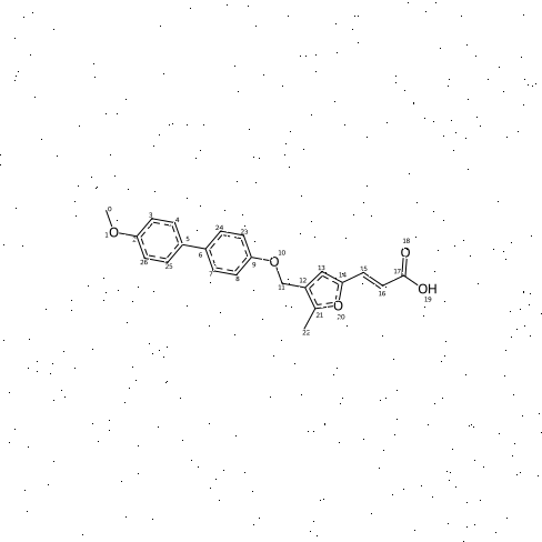 COc1ccc(-c2ccc(OCc3cc(C=CC(=O)O)oc3C)cc2)cc1